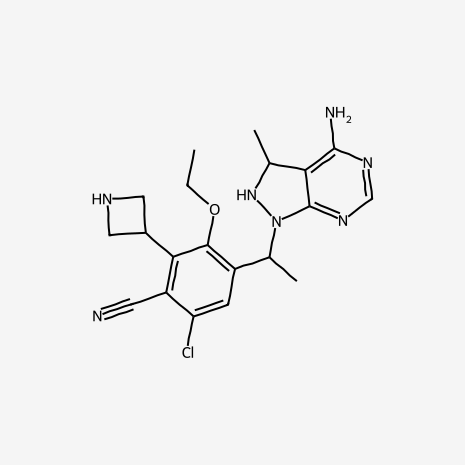 CCOc1c(C(C)N2NC(C)c3c(N)ncnc32)cc(Cl)c(C#N)c1C1CNC1